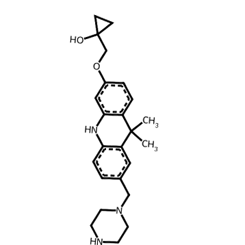 CC1(C)c2ccc(OCC3(O)CC3)cc2Nc2ccc(CN3CCNCC3)cc21